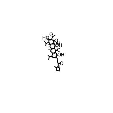 CC(=O)C1=C(O)C(C(C)C)[C@@]2(C)C[C@@]3(C)Cc4c(C(C)C)cc(CCC(=O)[C@H]5CCCC5C)c(O)c4C(=O)C3=C(O)[C@@]2(O)C1=O